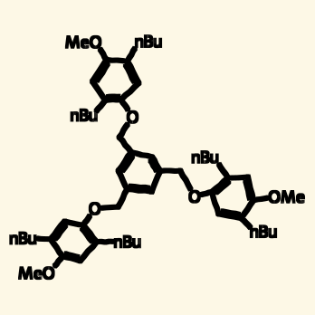 CCCCc1cc(OCc2cc(COc3cc(CCCC)c(OC)cc3CCCC)cc(COc3cc(CCCC)c(OC)cc3CCCC)c2)c(CCCC)cc1OC